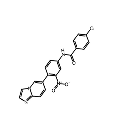 O=C(Nc1ccc(-c2ccc3nccn3c2)c([N+](=O)[O-])c1)c1ccc(Cl)cc1